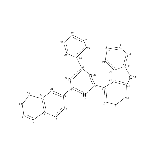 C1=Cc2ccc(-c3nc(C4=CCCc5oc6ccccc6c54)nc(-c4ccccc4)n3)cc2CC1